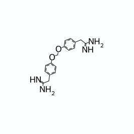 N=C(N)Cc1ccc(OCOc2ccc(CC(=N)N)cc2)cc1